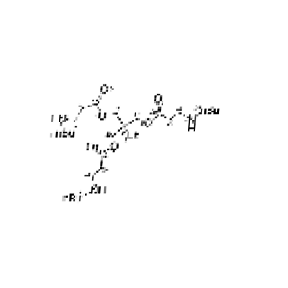 CCCCNCCC(=O)OCC(CC)(COC(=O)CCNCCCC)COC(=O)CCNCCCC